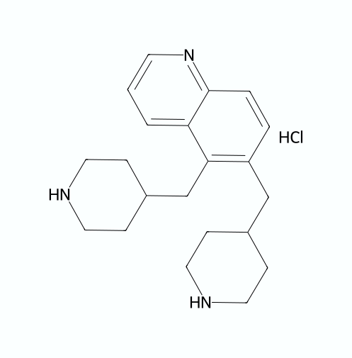 Cl.c1cnc2ccc(CC3CCNCC3)c(CC3CCNCC3)c2c1